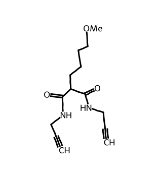 C#CCNC(=O)C(CCCCOC)C(=O)NCC#C